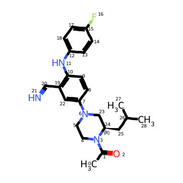 CC(=O)N1CCN(c2ccc(Nc3ccc(F)cc3)c(C=N)c2)C[C@H]1CC(C)C